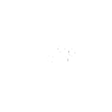 CC(C)(C)[Si](OCc1ccc(C2COC2)cc1)(c1ccccc1)c1ccccc1